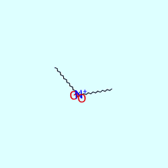 CCCCCCCCCCCCCCC(=O)[N+](C)(C)C(=O)CCCCCCCCCCCCC